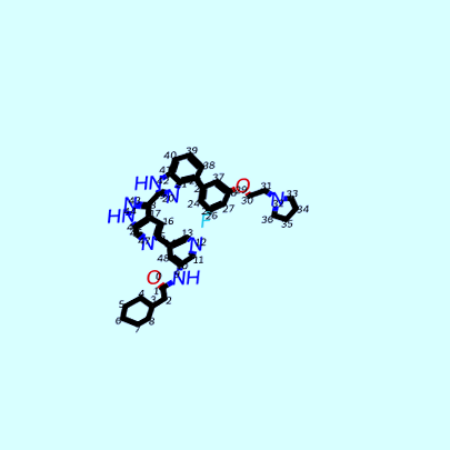 O=C(CC1CCCCC1)Nc1cncc(-c2cc3c(-c4nc5c(-c6cc(F)cc(OCCN7CCCC7)c6)cccc5[nH]4)n[nH]c3cn2)c1